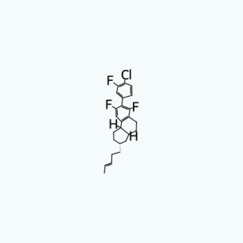 C/C=C/CC[C@@H]1CC[C@@H]2c3cc(F)c(-c4ccc(Cl)c(F)c4)c(F)c3CC[C@@H]2C1